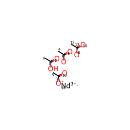 CC(=O)O.CC(=O)[O-].CC(=O)[O-].CC(=O)[O-].[Nd+3]